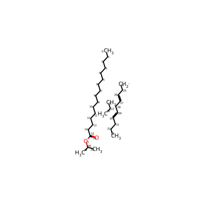 CCCCCCCCCCCCCCCC(=O)OC(C)C.C[CH]C.[CH2]CC=CCC=CCCC